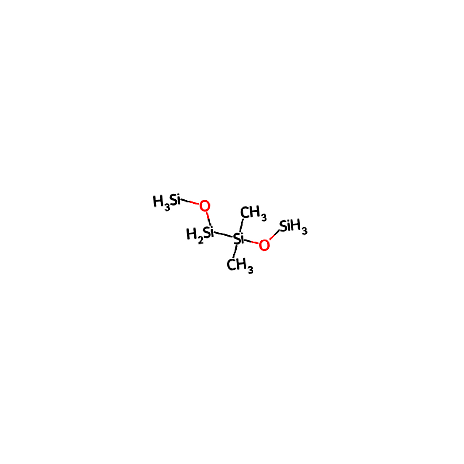 C[Si](C)(O[SiH3])[SiH2]O[SiH3]